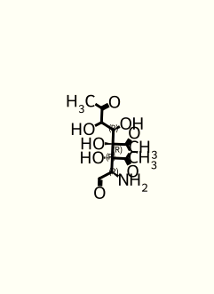 CC(=O)C(O)[C@@H](O)[C@](O)(C(C)=O)[C@@](O)(C(C)=O)[C@@H](N)C=O